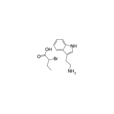 CCC(Br)C(=O)O.NCCc1c[nH]c2ccccc12